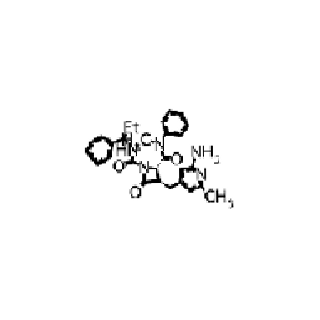 CCC(NC(=O)N1C(=O)[C@H](Cc2cc(C)nc(N)c2)[C@H]1C(=O)N(C)c1ccccc1)c1ccccc1